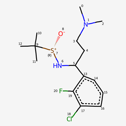 CN(C)CCC(N[S@@+]([O-])C(C)(C)C)c1cccc(Cl)c1F